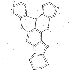 c1ccc2c(c1)oc1c3c4c(cc12)Oc1cnccc1N4c1ccncc1O3